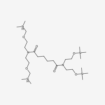 C[SiH](C)COCCN(CCOC[SiH](C)C)C(=O)CCCCC(=O)N(CCO[Si](C)(C)C)CCO[Si](C)(C)C